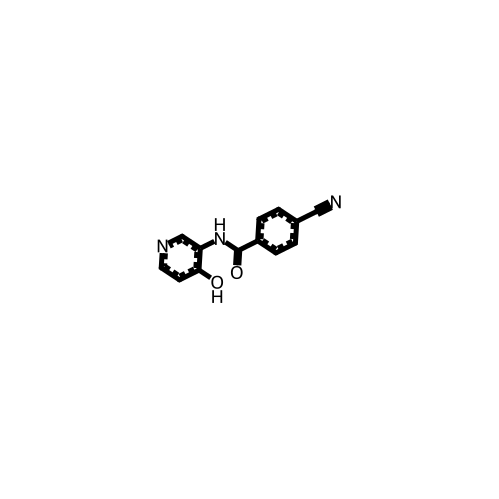 N#Cc1ccc(C(=O)Nc2cnccc2O)cc1